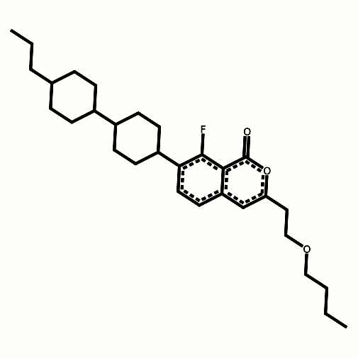 CCCCOCCc1cc2ccc(C3CCC(C4CCC(CCC)CC4)CC3)c(F)c2c(=O)o1